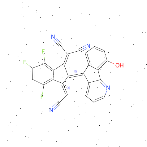 N#C/C=C1/C(=C2\c3cccnc3-c3c(O)cccc32)C(=C(C#N)C#N)c2c(F)c(F)cc(F)c21